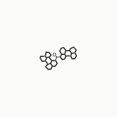 O=C(c1ccc2c3cccc4cccc(c5cccc1c52)c43)c1ccc2cccc3c4cccc5cccc(c1c23)c54